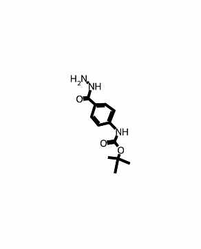 CC(C)(C)OC(=O)Nc1ccc(C(=O)NN)cc1